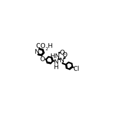 O=C(O)c1ccc(OC2C=CC(NC3NCOOCN3CC3=CC=C(Cl)CC3)=CC2)cn1